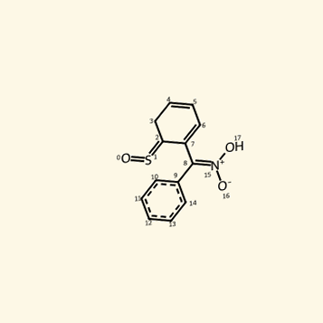 O=S=C1CC=CC=C1C(c1ccccc1)=[N+]([O-])O